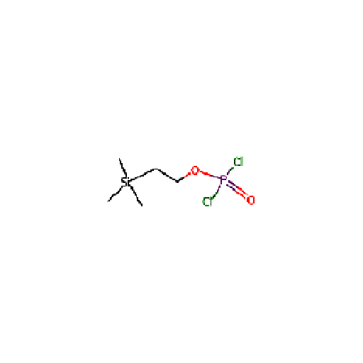 C[Si](C)(C)CCOP(=O)(Cl)Cl